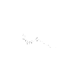 CCCCCCCCCCCCCCCCCCS(=O)(=O)CCCO[PH](=O)OOC(C)C[N+](C)(C)C